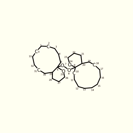 C1CCCCCC2(OOC34CCCCCCCCCCC3CCCO4)OCCCC2CCCC1